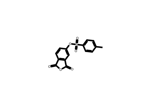 Cc1ccc(S(=O)(=O)Oc2ccc3c(c2)C(=O)OC3=O)cc1